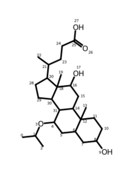 CC(C)OC1CC2CC(O)CCC2(C)C2CC(O)C3(C)C(C(C)CCC(=O)O)CCC3C12